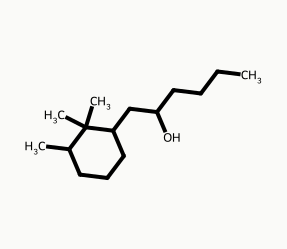 CCCCC(O)CC1CCCC(C)C1(C)C